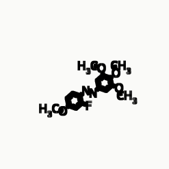 COc1ccc(N=Nc2cc(OC)c(OC)c(OC)c2)c(F)c1